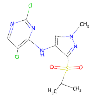 CC(C)S(=O)(=O)c1nn(C)cc1Nc1nc(Cl)ncc1Cl